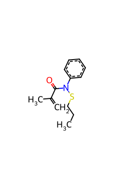 C=C(C)C(=O)N(SCCC)c1ccccc1